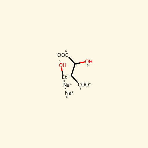 CCO.O=C([O-])CC(O)C(=O)[O-].[Na+].[Na+]